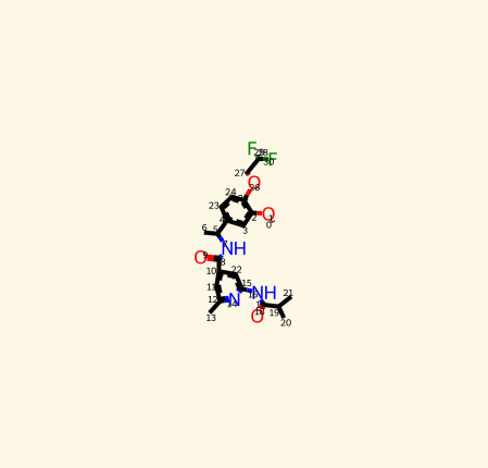 COc1cc(C(C)NC(=O)c2cc(C)nc(NC(=O)C(C)C)c2)ccc1OCC(F)F